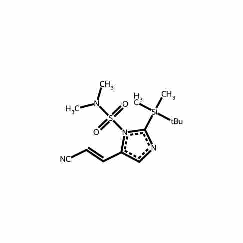 CN(C)S(=O)(=O)n1c(C=CC#N)cnc1[Si](C)(C)C(C)(C)C